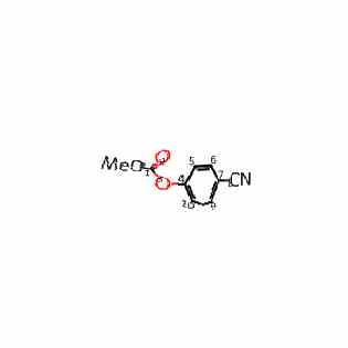 [CH2]OC(=O)Oc1ccc(C#N)cc1